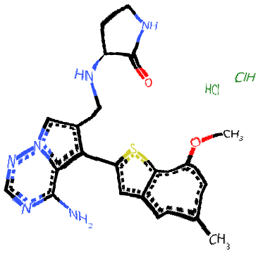 COc1cc(C)cc2cc(-c3c(CN[C@H]4CCNC4=O)cn4ncnc(N)c34)sc12.Cl.Cl